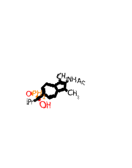 CC(=O)Nc1c(C)c2ccc(C(O)([PH2]=O)C(C)C)ccc-2c1C